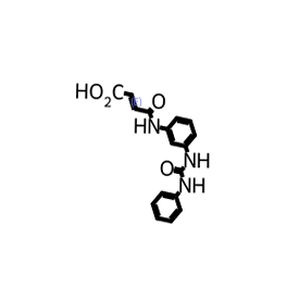 O=C(O)/C=C/C(=O)Nc1cccc(NC(=O)Nc2ccccc2)c1